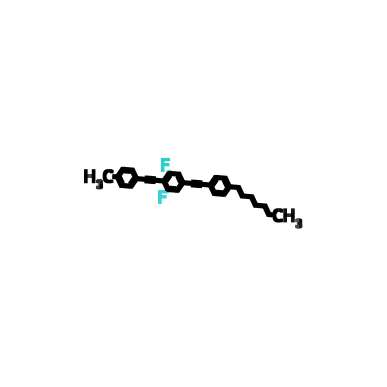 CCCCCCCc1ccc(C#Cc2cc(F)c(C#Cc3ccc(C)cc3)c(F)c2)cc1